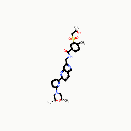 Cc1ccc(C(=O)NCc2cc3nc(-c4cccc(N5C[C@@H](C)O[C@@H](C)C5)n4)ccc3cn2)cc1S(=O)(=O)C[C@H](C)O